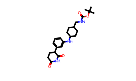 CC(C)(C)OC(=O)NCC1CCC(Nc2cccc(C3CCC(=O)NC3=O)c2)CC1